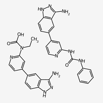 CCN(C(=O)O)c1cc(-c2ccc3[nH]nc(N)c3c2)ccn1.Nc1n[nH]c2ccc(-c3ccnc(NC(=O)Nc4ccccc4)c3)cc12